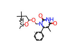 Cc1c(-c2[c]cccc2)n(COC(CC(C)(C)C)O[SiH](C)C)c(=O)[nH]c1=O